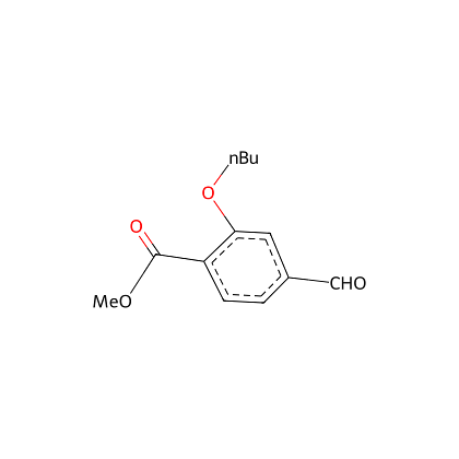 CCCCOc1cc(C=O)ccc1C(=O)OC